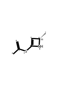 C=C(C)SC1=C[C@H](C)N1